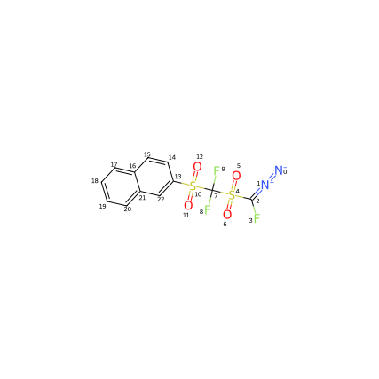 [N-]=[N+]=C(F)S(=O)(=O)C(F)(F)S(=O)(=O)c1ccc2ccccc2c1